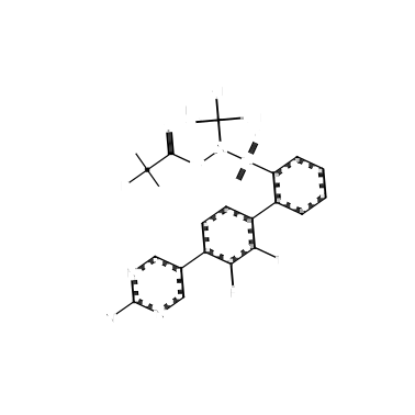 CC(C)(C)N(OC(=O)C(F)(F)F)S(=O)(=O)c1ccccc1-c1ccc(-c2cnc(N)nc2)c(F)c1F